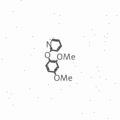 COc1ccc(Oc2ccc[c]n2)c(OC)c1